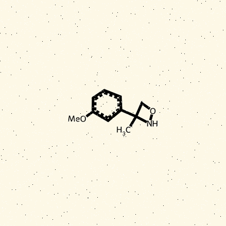 COc1cccc(C2(C)[CH]ON2)c1